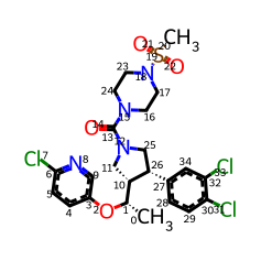 C[C@H](Oc1ccc(Cl)nc1)[C@@H]1CN(C(=O)N2CCN(S(C)(=O)=O)CC2)C[C@@H]1c1ccc(Cl)c(Cl)c1